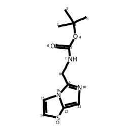 CC(C)(C)OC(=O)NCc1ncc2sccn12